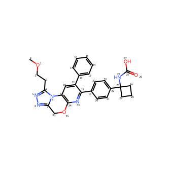 COCCc1nnc2n1-c1cc(-c3ccccc3)c(-c3ccc(C4(NC(=O)O)CCC4)cc3)nc1OC2